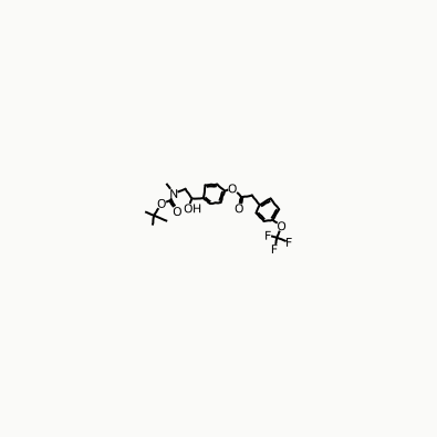 CN(CC(O)c1ccc(OC(=O)Cc2ccc(OC(F)(F)F)cc2)cc1)C(=O)OC(C)(C)C